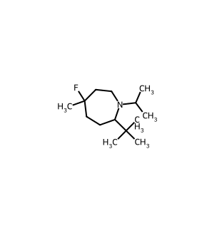 CC(C)N1CCC(C)(F)CCC1C(C)(C)C